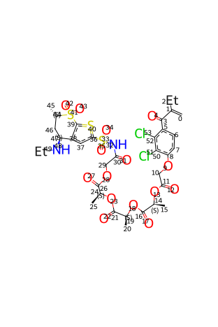 C=C(CC)C(=O)c1ccc(OCC(=O)O[C@@H](C)C(=O)O[C@@H](C)C(=O)O[C@@H](C)C(=O)OCC(=O)NS(=O)(=O)c2cc3c(s2)S(=O)(=O)[C@@H](C)C[C@@H]3NCC)c(Cl)c1Cl